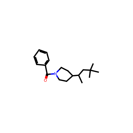 CC(CC(C)(C)C)C1CCN(C(=O)c2ccccc2)CC1